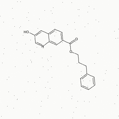 O=C(OCCCc1ccccc1)c1ccc2cc(O)cnc2c1